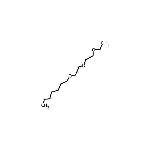 CCCCCCCOCCOCCOCC